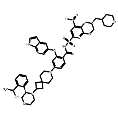 CC(C)c1ccccc1[C@@H]1COCCN1C1CC2(CCN(c3ccc(C(=O)NS(=O)(=O)c4cc([N+](=O)[O-])c5c(n4)OC[C@H](CC4CCOCC4)S5)c(Oc4cnc5[nH]ccc5c4)c3)CC2)C1